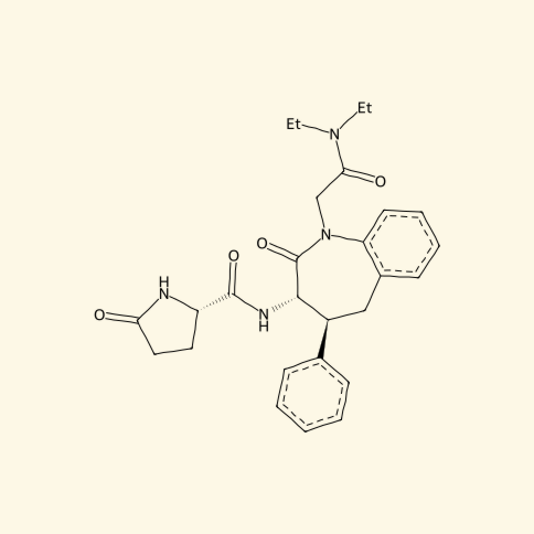 CCN(CC)C(=O)CN1C(=O)[C@@H](NC(=O)[C@@H]2CCC(=O)N2)[C@H](c2ccccc2)Cc2ccccc21